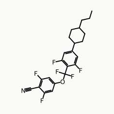 CCCC1CCC(c2cc(F)c(C(F)(F)Oc3cc(F)c(C#N)c(F)c3)c(F)c2)CC1